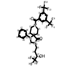 O=C(c1cc(C(F)(F)F)cc(C(F)(F)F)c1)N1CCC2(CC1)C(=O)N(CC[C@H](O)C(F)(F)F)CN2c1ccccc1